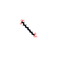 O=C(O)/C=C/C=C/C=C/CCCCC(=O)O